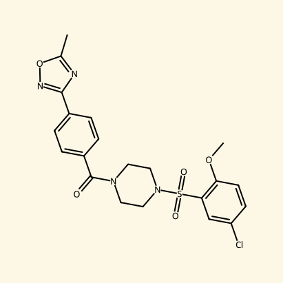 COc1ccc(Cl)cc1S(=O)(=O)N1CCN(C(=O)c2ccc(-c3noc(C)n3)cc2)CC1